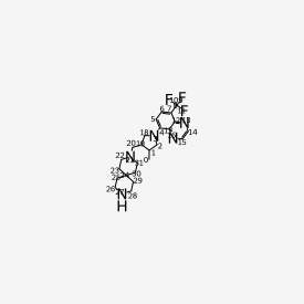 CC1CN(c2ccc(C(F)(F)F)c3nccnc23)CC1CN1CCC2(CCNCC2)CC1